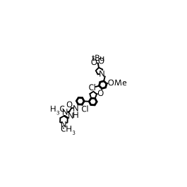 COc1cc(OC2CCc3c(-c4cccc(NC(=O)c5nc6c(n5C)CCN(C)C6)c4Cl)cccc32)c(Cl)cc1CN1CCC(C(=O)OC(C)(C)C)C1